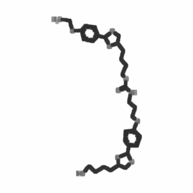 CCOc1ccc(C2OCC(CCCCOC(=O)NCCCOc3ccc(C4OCC(CCCCO)O4)cc3)O2)cc1